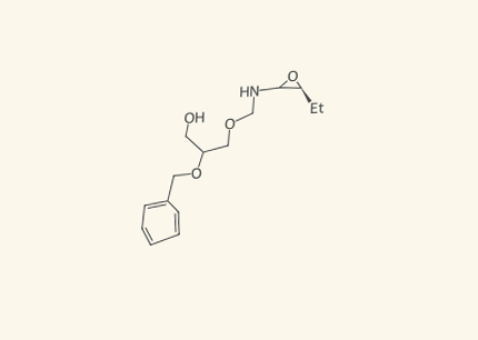 CC[C@@H]1OC1NCOCC(CO)OCc1ccccc1